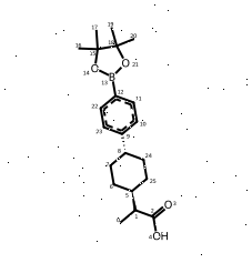 CC(C(=O)O)[C@H]1CC[C@H](c2ccc(B3OC(C)(C)C(C)(C)O3)cc2)CC1